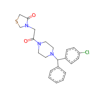 O=C(CN1CSCC1=O)N1CCN(C(c2ccccc2)c2ccc(Cl)cc2)CC1